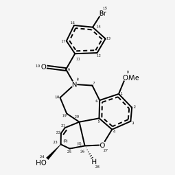 COc1ccc2c3c1CN(C(=O)c1ccc(Br)cc1)CCC31C=C[C@H](O)C[C@@H]1O2